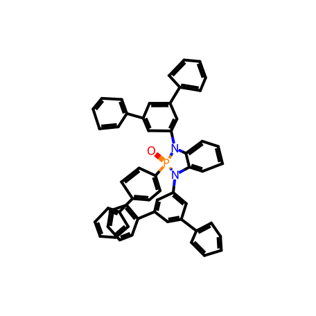 O=P1(c2ccc(-c3ccccc3)cc2)N(c2cc(-c3ccccc3)cc(-c3ccccc3)c2)c2ccccc2N1c1cc(-c2ccccc2)cc(-c2ccccc2)c1